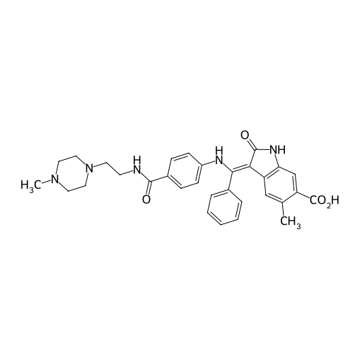 Cc1cc2c(cc1C(=O)O)NC(=O)/C2=C(\Nc1ccc(C(=O)NCCN2CCN(C)CC2)cc1)c1ccccc1